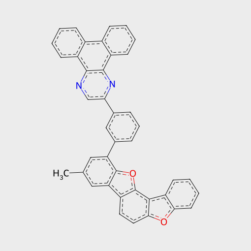 Cc1cc(-c2cccc(-c3cnc4c5ccccc5c5ccccc5c4n3)c2)c2oc3c(ccc4oc5ccccc5c43)c2c1